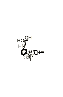 C#CN1CC[C@@H](NS(=O)(=O)c2cc(NCC(O)CO)ccc2Cl)C1